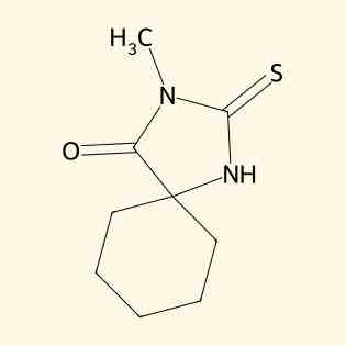 CN1C(=O)C2(CCCCC2)NC1=S